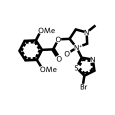 COc1cccc(OC)c1C(=O)OC1CN(C)C[N+]1([O-])c1ncc(Br)s1